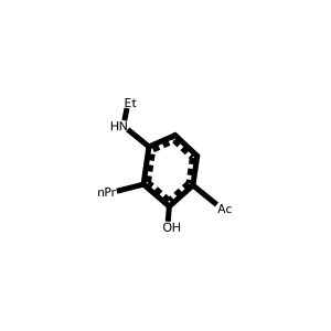 CCCc1c(NCC)ccc(C(C)=O)c1O